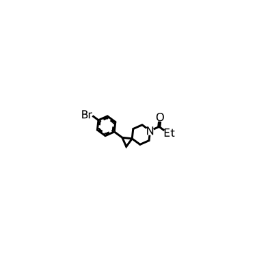 CCC(=O)N1CCC2(CC1)CC2c1ccc(Br)cc1